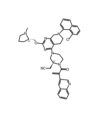 C=C(C(=O)N1CCN(c2nc(OC[C@@H]3CCCN3C)nc3c2CCN(c2cccc4cccc(Cl)c24)C3)C[C@@H]1CC#N)c1cnc2ccccc2c1